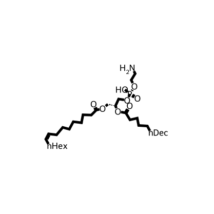 CCCCCC/C=C\CCCCCCCC(=O)OC[C@H](COP(=O)(O)OCCN)OC(=O)CCCCCCCCCCCCCC